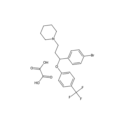 FC(F)(F)c1ccc(OC(CCN2CCCCC2)c2ccc(Br)cc2)cc1.O=C(O)C(=O)O